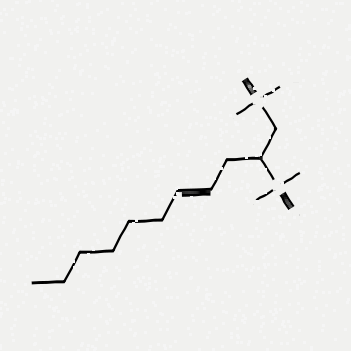 CCCCCC/C=C/CC(CP(=O)(O)O)P(=O)(O)O